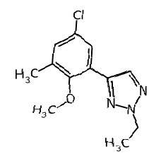 CCn1ncc(-c2cc(Cl)cc(C)c2OC)n1